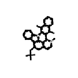 Cc1c2ccccc2c(C)c2c1c1c3c(cc[n+]1C)cc(CC(C)(C)C)c1c4ccccc4n2c13